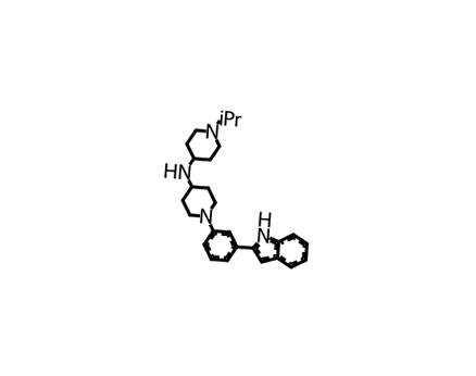 CC(C)N1CCC(NC2CCN(c3cccc(-c4cc5ccccc5[nH]4)c3)CC2)CC1